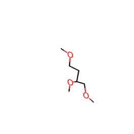 COCCC(COC)OC